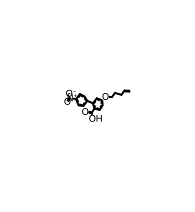 C=CCCCOc1ccc(C(=O)O)c(-c2ccc([N+](=O)[O-])cc2)c1